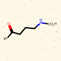 CC(C)C(=O)CCCNC(=O)O